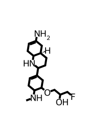 CNC1CC=C(C2CC[C@@H]3CC(N)=CCC3N2)CC1OCC(O)CF